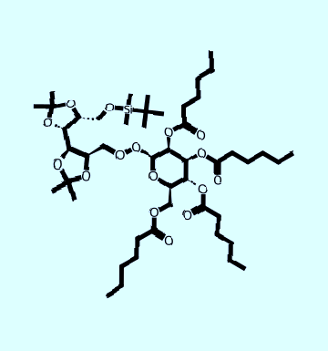 CCCCCC(=O)OC[C@H]1O[C@@H](OOC[C@H]2OC(C)(C)O[C@H]2[C@@H]2OC(C)(C)O[C@@H]2CO[Si](C)(C)C(C)(C)C)[C@@H](OC(=O)CCCCC)[C@@H](OC(=O)CCCCC)[C@@H]1OC(=O)CCCCC